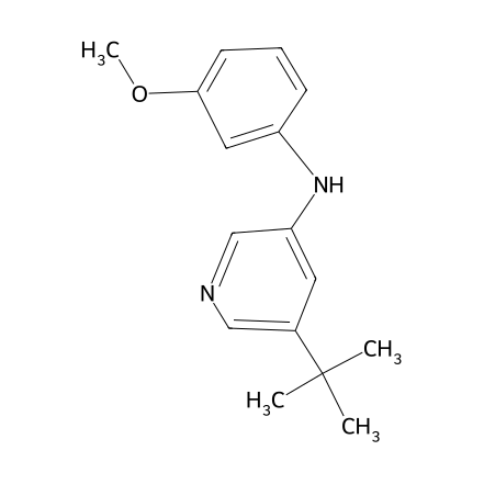 COc1cccc(Nc2cncc(C(C)(C)C)c2)c1